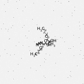 CCCCOCC(OC(S)[C@H](COCCCC)N=[N+]=[N-])[C@H](C)O